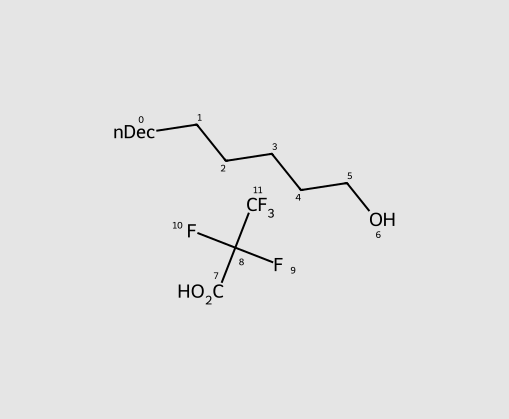 CCCCCCCCCCCCCCCO.O=C(O)C(F)(F)C(F)(F)F